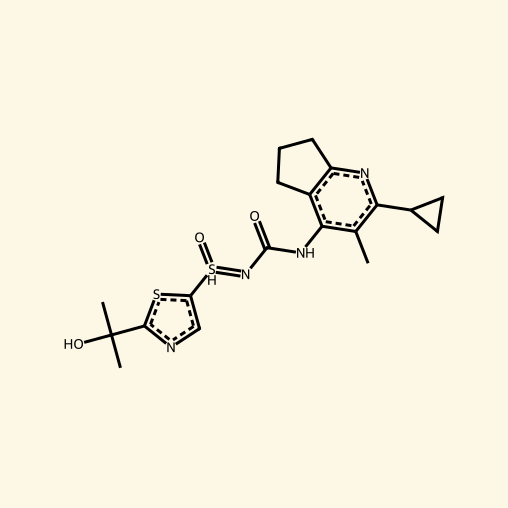 Cc1c(C2CC2)nc2c(c1NC(=O)/N=[SH](=O)/c1cnc(C(C)(C)O)s1)CCC2